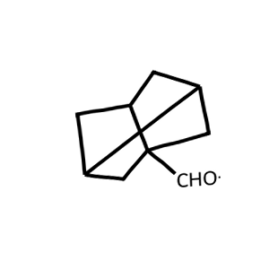 O=[C]C12CC3CC1CC3C2